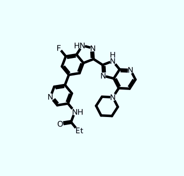 CCC(=O)Nc1cncc(-c2cc(F)c3[nH]nc(-c4nc5c(N6CCCCC6)ccnc5[nH]4)c3c2)c1